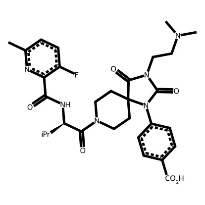 Cc1ccc(F)c(C(=O)N[C@@H](C(=O)N2CCC3(CC2)C(=O)N(CCN(C)C)C(=O)N3c2ccc(C(=O)O)cc2)C(C)C)n1